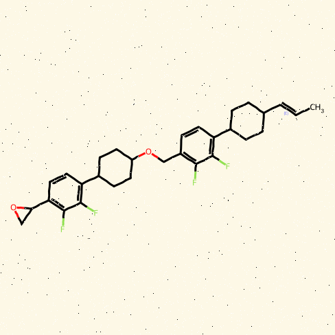 C/C=C/C1CCC(c2ccc(COC3CCC(c4ccc(C5CO5)c(F)c4F)CC3)c(F)c2F)CC1